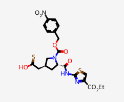 CCOC(=O)c1csc(NC(=O)[C@@H]2C[C@@H](CC(O)=S)CN2C(=O)OCc2ccc([N+](=O)[O-])cc2)n1